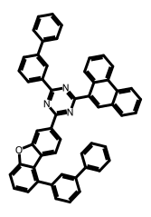 c1ccc(-c2cccc(-c3nc(-c4ccc5c(c4)oc4cccc(-c6cccc(-c7ccccc7)c6)c45)nc(-c4cc5ccccc5c5ccccc45)n3)c2)cc1